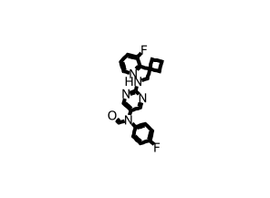 O=CN(c1ccc(F)cc1)c1cnc(NCC2(c3ncccc3F)CCC2)nc1